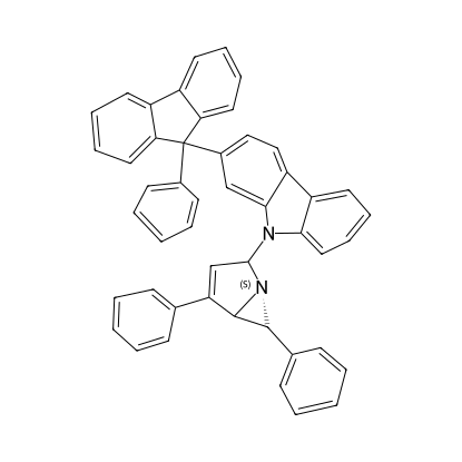 C1=C(c2ccccc2)C2C(c3ccccc3)[N@@]2C1n1c2ccccc2c2ccc(C3(c4ccccc4)c4ccccc4-c4ccccc43)cc21